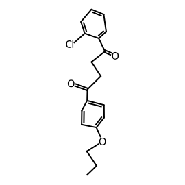 CCCOc1ccc(C(=O)CCC(=O)c2ccccc2Cl)cc1